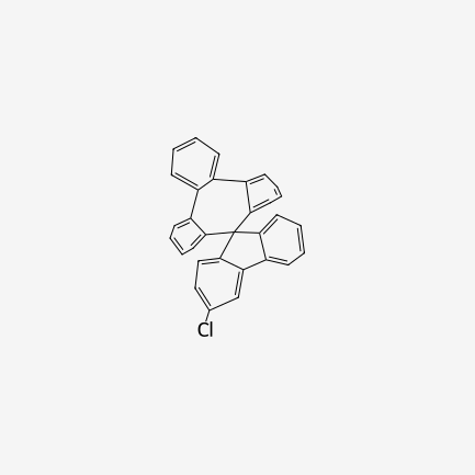 Clc1ccc2c(c1)-c1ccccc1C21c2ccccc2-c2ccccc2-c2ccccc21